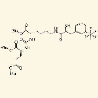 CC(C)(C)OC(=O)CC[C@H](NC(=O)N[C@@H](CCCCNC(=O)[C@@H](N)Cc1cccc(S(F)(F)(F)(F)F)c1)C(=O)OC(C)(C)C)C(=O)OC(C)(C)C